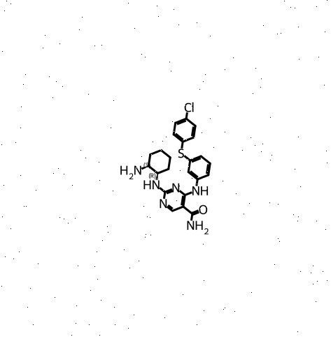 NC(=O)c1cnc(N[C@@H]2CCCC[C@@H]2N)nc1Nc1cccc(Sc2ccc(Cl)cc2)c1